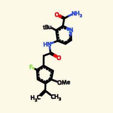 C=C(C)c1cc(F)c(CC(=O)Nc2ccnc(C(N)=O)c2C(C)(C)C)cc1OC